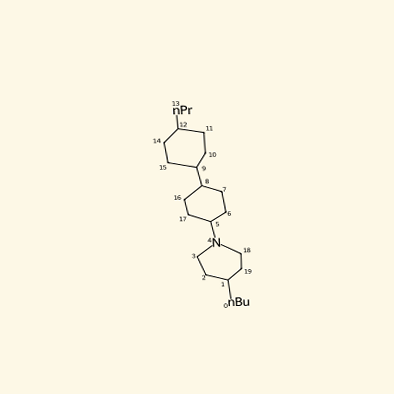 CCCCC1CCN(C2CCC(C3CCC(CCC)CC3)CC2)CC1